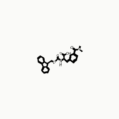 CN(C)C(=O)c1cccc(CC(NC(=O)OCC2c3ccccc3-c3ccccc32)C(=O)O)c1